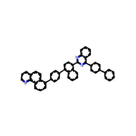 c1ccc(-c2ccc(-c3nc(-c4ccc(-c5ccc(-c6cccc7c6ccc6cccnc67)cc5)c5ccccc45)nc4ccccc34)cc2)cc1